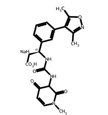 Cc1noc(C)c1-c1cccc([C@H](CC(=O)O)NC(=O)NC2C(=O)C=CN(C)C2=O)c1.[NaH]